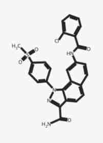 CS(=O)(=O)c1ccc(-n2nc(C(N)=O)c3ccc4ccc(NC(=O)c5ccccc5Cl)cc4c32)cc1